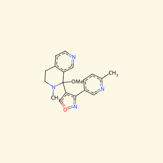 COC1(c2conc2-c2ccc(C)nc2)c2cnccc2CCN1C